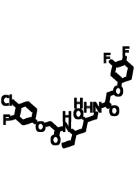 C=CC(C[C@H](O)CNC(=O)COc1ccc(F)c(F)c1)NC(=O)COc1ccc(Cl)c(F)c1